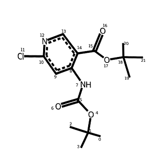 CC(C)(C)OC(=O)Nc1cc(Cl)ncc1C(=O)OC(C)(C)C